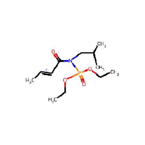 C/C=C/C(=O)N(CC(C)C)P(=O)(OCC)OCC